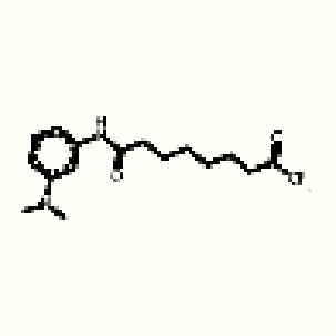 CN(C)c1cccc(NC(=O)CCCCCCC(=O)C(F)(F)F)c1